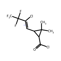 CC1(C)C(/C=C(\Cl)C(F)(F)C(F)(F)F)C1C(=O)Cl